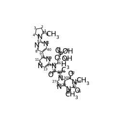 C[C@H]1CCCN1c1ncc(-c2cncc(N(COP(=O)(O)O)C(=O)[C@H](C)n3cnc4c3c(=O)n(C)c(=O)n4C)n2)cn1